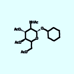 CC(=O)NC1[C@H](OC2CCCCC2)OC(COC(C)=O)[C@@H](OC(C)=O)[C@@H]1OC(C)=O